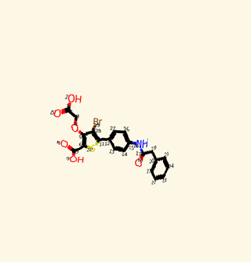 O=C(O)COc1c(C(=O)O)sc(-c2ccc(NC(=O)Cc3ccccc3)cc2)c1Br